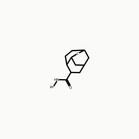 CC(C)NC(=O)C1CC2CC3CCC1C(C3)C2